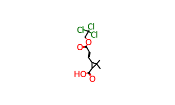 CC1(C)C(C=CC(=O)OCC(Cl)(Cl)Cl)C1C(=O)O